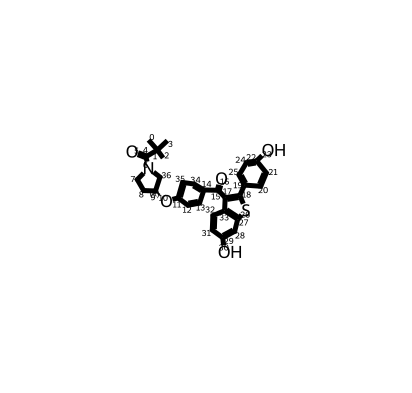 CC(C)(C)C(=O)N1CC[C@@H](Oc2ccc(C(=O)c3c(-c4ccc(O)cc4)sc4cc(O)ccc34)cc2)C1